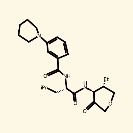 CC[C@@H]1COCC(=O)[C@H]1NC(=O)[C@H](CC(C)C)NC(=O)c1cccc(N2CCCCC2)c1